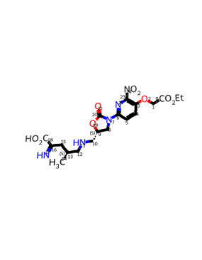 CCOC(=O)COc1ccc(N2C[C@H](CNC[C@@H](C)CC(=N)C(=O)O)OC2=O)nc1[N+](=O)[O-]